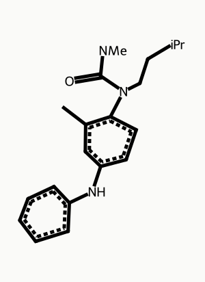 CNC(=O)N(CCC(C)C)c1ccc(Nc2ccccc2)cc1C